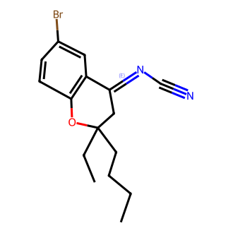 CCCCC1(CC)C/C(=N\C#N)c2cc(Br)ccc2O1